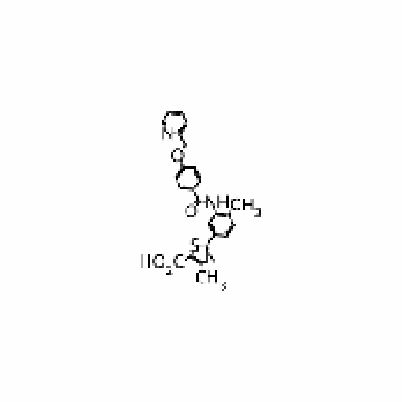 Cc1ccc(-c2nc(C)c(C(=O)O)s2)cc1NC(=O)c1ccc(OCc2ccccn2)cc1